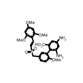 COc1cc(OC)c(C=CS(=O)(=O)Cc2ccc(OC)c(-c3c(N)cc(N)cc3C(=O)O)c2)c(OC)c1